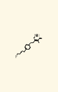 C=C/C(C)=C(\C=N)CCc1ccc(CCCCF)cc1